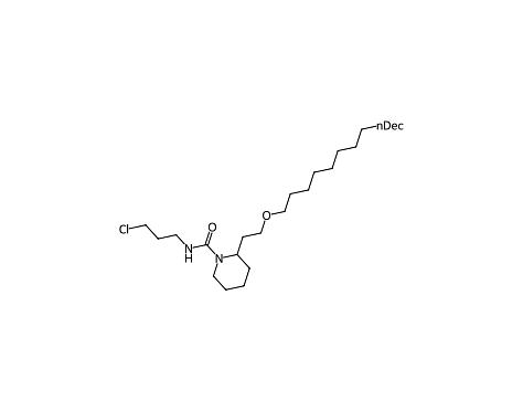 CCCCCCCCCCCCCCCCCCOCCC1CCCCN1C(=O)NCCCCl